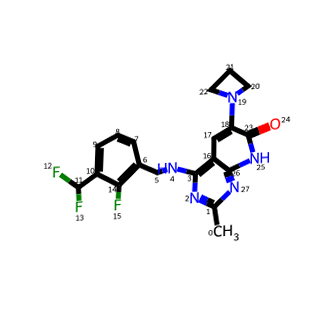 Cc1nc(NCc2cccc(C(F)F)c2F)c2cc(N3CCC3)c(=O)[nH]c2n1